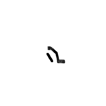 CC.CC(C)CC=O